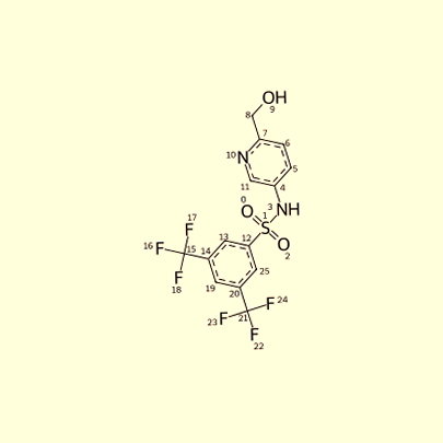 O=S(=O)(Nc1ccc(CO)nc1)c1cc(C(F)(F)F)cc(C(F)(F)F)c1